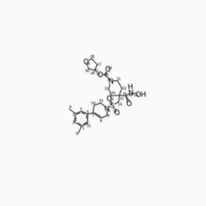 Cc1cc(C)cc(C2=CCN(S(=O)(=O)CC3(C(=O)NO)CCN(C(=O)O[C@H]4CCOC4)CC3)CC2)c1